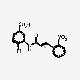 O=C(/C=C/c1ccccc1[N+](=O)[O-])Nc1cc(C(=O)O)ccc1Cl